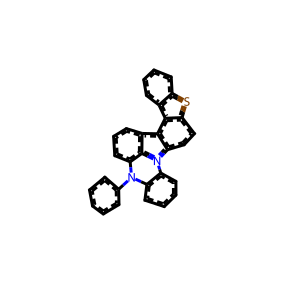 c1ccc(N2c3ccccc3-n3c4ccc5sc6ccccc6c5c4c4cccc2c43)cc1